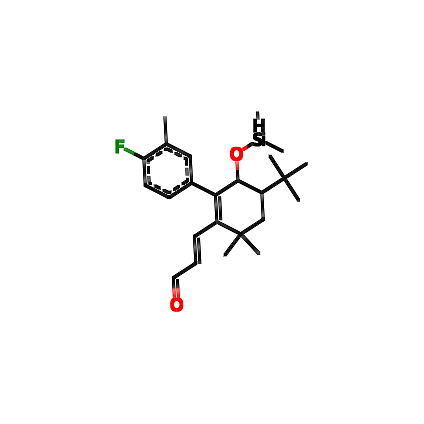 Cc1cc(C2=C(C=CC=O)C(C)(C)CC(C(C)(C)C)C2O[SiH](C)C)ccc1F